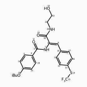 CC(C)COc1ccc(C(=O)N/C(=C\c2ccc(SC(F)(F)F)cc2)C(=O)NCCO)cc1